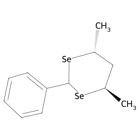 C[C@@H]1C[C@@H](C)[Se]C(c2ccccc2)[Se]1